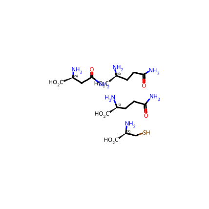 NC(=O)CC[C@H](N)C(=O)O.NC(=O)CC[C@H](N)C(=O)O.NC(=O)C[C@H](N)C(=O)O.N[C@@H](CS)C(=O)O